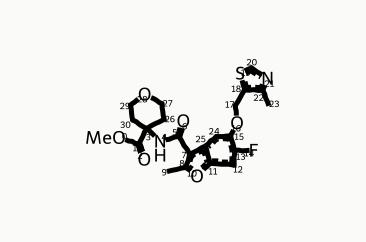 COC(=O)C1(NC(=O)c2c(C)oc3cc(F)c(OCc4scnc4C)cc23)CCOCC1